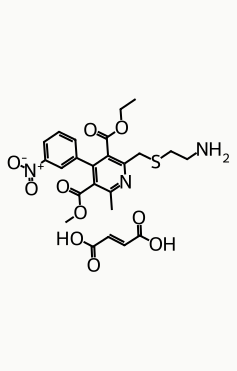 CCOC(=O)c1c(CSCCN)nc(C)c(C(=O)OC)c1-c1cccc([N+](=O)[O-])c1.O=C(O)/C=C/C(=O)O